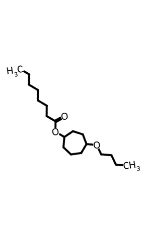 CCCCCCCC(=O)OC1CCCC(OCCCC)CC1